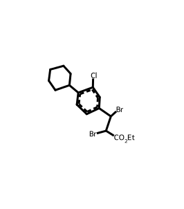 CCOC(=O)C(Br)C(Br)c1ccc(C2CCCCC2)c(Cl)c1